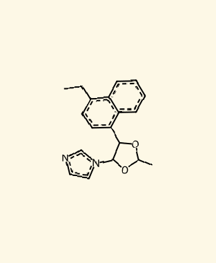 CCc1ccc(C2OC(C)OC2n2ccnc2)c2ccccc12